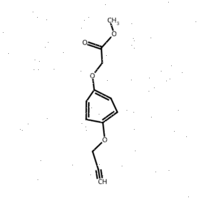 C#CCOc1ccc(OCC(=O)OC)cc1